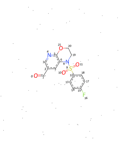 O=[C]c1cnc2c(c1)N(S(=O)(=O)c1ccc(F)cc1)CCO2